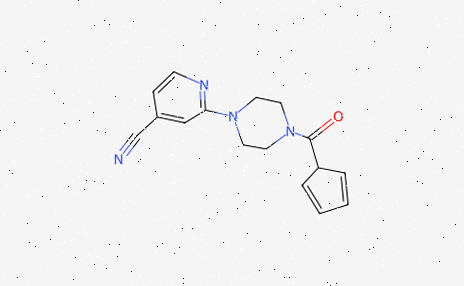 N#Cc1ccnc(N2CCN(C(=O)C3C=CC=C3)CC2)c1